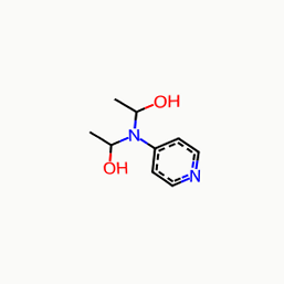 CC(O)N(c1ccncc1)C(C)O